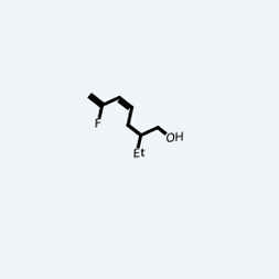 C=C(F)/C=C\CC(CC)CO